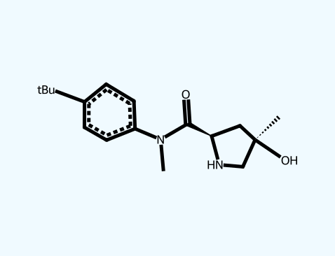 CN(C(=O)[C@H]1C[C@@](C)(O)CN1)c1ccc(C(C)(C)C)cc1